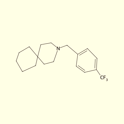 FC(F)(F)c1ccc(CN2CCC3(CCCCC3)CC2)cc1